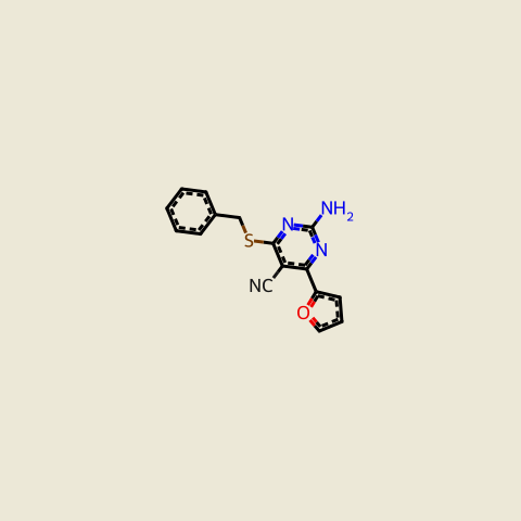 N#Cc1c(SCc2ccccc2)nc(N)nc1-c1ccco1